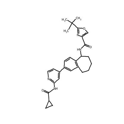 CC(C)(C)c1nc(C(=O)NC2CCCCc3cc(-c4ccnc(NC(=O)C5CC5)c4)ccc32)co1